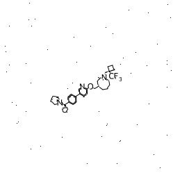 O=C(c1ccc(-c2ccc(OCC3CCCCN(CC4(C(F)(F)F)CCC4)CC3)nc2)cc1)N1CCCC1